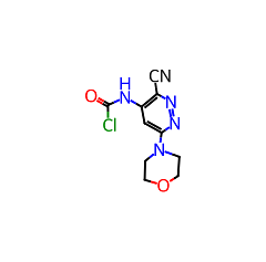 N#Cc1nnc(N2CCOCC2)cc1NC(=O)Cl